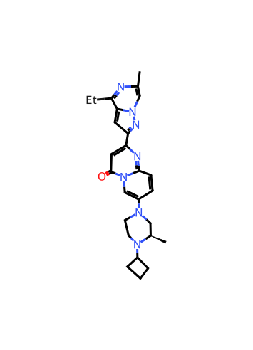 CCc1nc(C)cn2nc(-c3cc(=O)n4cc(N5CCN(C6CCC6)[C@H](C)C5)ccc4n3)cc12